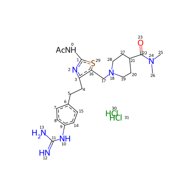 CC(=O)Nc1nc(CCc2ccc(NC(=N)N)cc2)c(CN2CCC(C(=O)N(C)C)CC2)s1.Cl.Cl